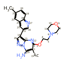 CC(=O)c1c(OCCN2CCOCC2)nc2c(-c3cnc4ccc(C)cc4c3)cnn2c1N